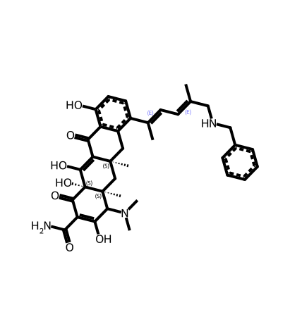 C/C(=C\C=C(/C)c1ccc(O)c2c1C[C@@]1(C)C[C@@]3(C)C(N(C)C)C(O)=C(C(N)=O)C(=O)[C@@]3(O)C(O)=C1C2=O)CNCc1ccccc1